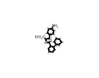 CCOC(=O)c1nc(-c2ccccc2-c2ccccc2)oc1-c1ccc(N)cc1